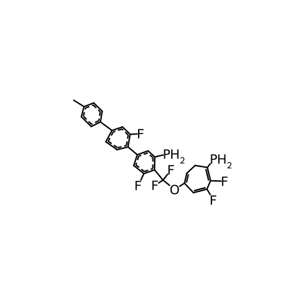 Cc1ccc(-c2ccc(-c3cc(F)c(C(F)(F)OC4=CCC(P)=C(F)C(F)=C4)c(P)c3)c(F)c2)cc1